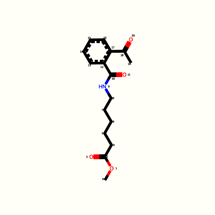 COC(=O)CCCCCNC(=O)c1ccccc1C(C)=O